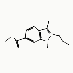 CCC[n+]1c(C)c2ccc(C(=O)OC)cc2n1C